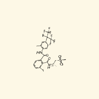 Cc1cc(C(F)(C(F)(F)F)C(F)(F)F)ccc1NC(=O)c1cccc(I)c1C(=O)N[C@@H](C)CS(C)(=O)=O